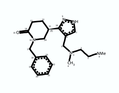 CNCCN(C)Cc1c[nH]nc1[C@@H]1CCC(=O)N(Cc2ccccc2)C1